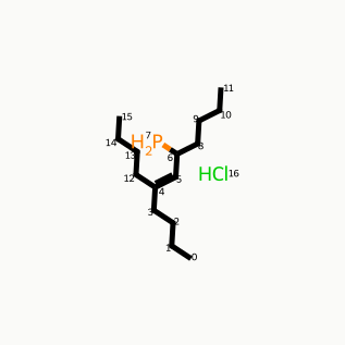 CCCCC(=CC(P)CCCC)CCCC.Cl